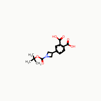 CC(C)(C)OC(=O)N1CC(c2ccc(C(=O)O)c(C(=O)O)c2)C1